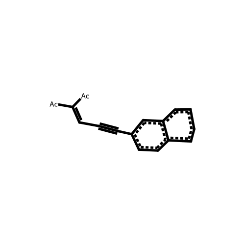 CC(=O)C(=CC#Cc1ccc2ccccc2c1)C(C)=O